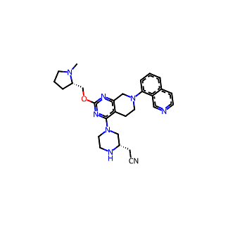 CN1CCC[C@H]1COc1nc2c(c(N3CCN[C@@H](CC#N)C3)n1)CCN(c1cccc3ccncc13)C2